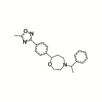 Cc1nc(-c2ccc(C3CCN(C(C)c4ccccc4)CCO3)cc2)no1